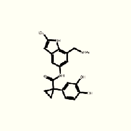 CC(=O)NCc1cc(NC(=O)C2(c3ccc(O)c(O)c3)CC2)cc2cc(C(C)(C)C)[nH]c12